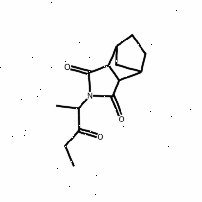 CCC(=O)C(C)N1C(=O)C2C3CCC(C3)C2C1=O